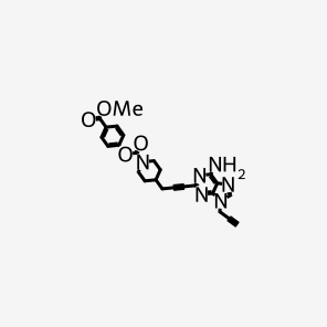 C#CCn1cnc2c(N)nc(C#CCC3CCN(C(=O)Oc4ccc(C(=O)OC)cc4)CC3)nc21